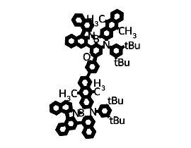 Cc1c2ccc(-c3ccc4c(c3)oc3c5c6c(cc34)N(c3cc(C(C)(C)C)cc(C(C)(C)C)c3)c3cc4c(C)c7ccccc7c(C)c4cc3B6n3c4ccc6ccccc6c4c4c6ccccc6cc-5c43)cc2c(C)c2cc3c(cc12)B1c2c(cc4ccccc4c2-c2cc4ccccc4c4c5c6ccccc6ccc5n1c24)N3c1cc(C(C)(C)C)cc(C(C)(C)C)c1